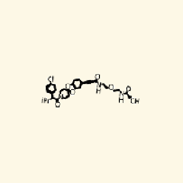 C#CC(=O)NCCOCCNC(=O)C#Cc1ccc2c(c1)OC1(CCN(C(=O)C(c3ccc(Cl)cc3)C(C)C)CC1)O2